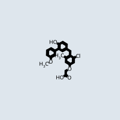 COc1cccc(-c2cc(Cc3c(C)cc(OCC(=O)O)cc3Cl)ccc2O)c1